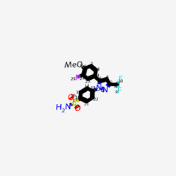 COc1ccc(-c2cc(C(F)F)nn2-c2ccc(S(N)(=O)=O)cc2)cc1I